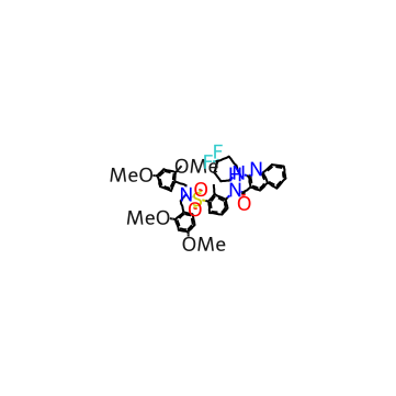 COc1ccc(CN(Cc2ccc(OC)cc2OC)S(=O)(=O)c2cccc(NC(=O)c3cc4ccccc4nc3N3CCCC(F)(F)CC3)c2C)c(OC)c1